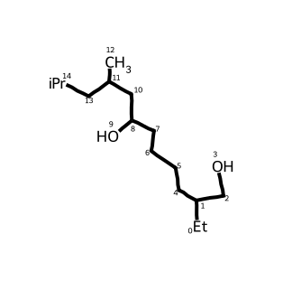 CCC(CO)CCCCC(O)CC(C)CC(C)C